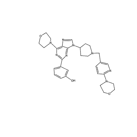 Oc1cccc(-c2nc(N3CCOCC3)c3ncn(C4CCN(Cc5ccc(N6CCOCC6)nc5)CC4)c3n2)c1